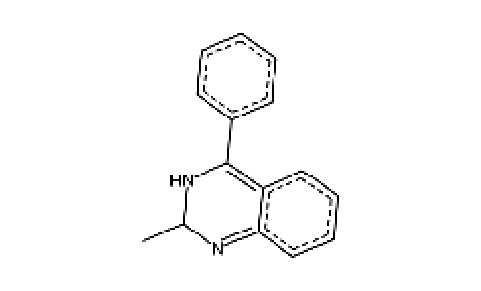 CC1N=c2ccccc2=C(c2ccccc2)N1